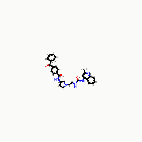 Cc1cc(NC(=O)NCCN2CCC(NC(=O)c3ccc(C(=O)c4ccccc4)cc3)C2)c2ccccc2n1